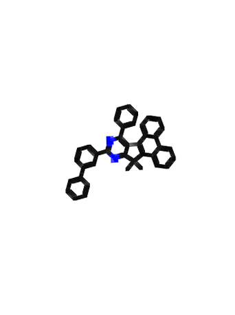 CC1(C)c2nc(-c3cccc(-c4ccccc4)c3)nc(-c3ccccc3)c2-c2c1c1ccccc1c1ccccc21